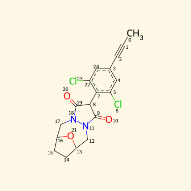 CC#Cc1cc(Cl)c(C2C(=O)N3CC4CCC(CN3C2=O)O4)c(Cl)c1